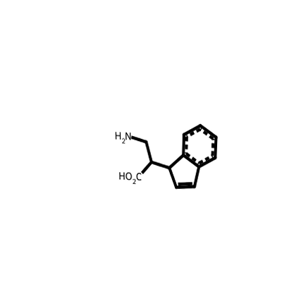 NCC(C(=O)O)C1C=Cc2ccccc21